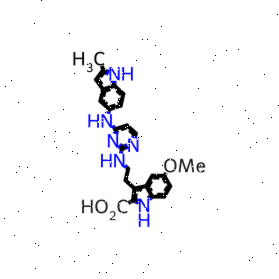 COc1ccc2[nH]c(C(=O)O)c(CCNc3nccc(Nc4ccc5[nH]c(C)cc5c4)n3)c2c1